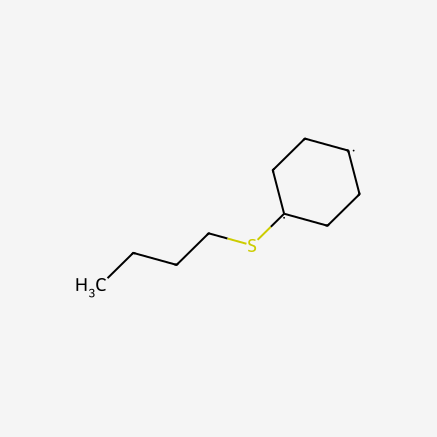 CCCCS[C]1CC[CH]CC1